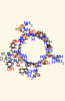 C[C@H](O)[C@H]1NC(=O)[C@H](NC(=O)[C@@H](CS)NC(=O)CN)Cc2cn(nn2)CCC[C@@H](C(=O)N[C@H](Cc2ccc(O)cc2)C(=O)N(C)[C@@H](Cc2ccc(O)cc2)C(=O)O)NC(=O)[C@H](CCC(N)=O)NC(=O)[C@@H](CCc2c[nH]c3ccccc23)NC(=O)[C@H](CCCNC(N)=O)NC(=O)[C@@H](CS)NC(=O)[C@H](CCCNC(=N)N)NC(=O)[C@H]2CCCN2C(=O)[C@H](CC(=O)O)NC1=O